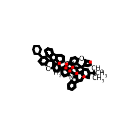 CC(C)(C)c1ccc2c(c1)C1(c3ccccc3Oc3ccc(N(c4cccc(-n5c6ccccc6c6ccccc65)c4)c4ccc5c(c4)C4(c6cc(C7CCCCC7)ccc6Oc6ccc(C7CCCCC7)cc64)c4ccccc4-5)cc31)c1cc(C(C)(C)C)ccc1-2